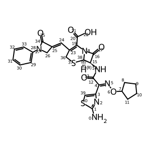 Nc1nc(C(=NOC2CCCC2)C(=O)N[C@@H]2C(=O)N3C(C(=O)O)=C(C=C4CN(c5ccccc5)C4=O)CS[C@H]23)cs1